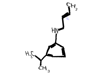 C/C=C/CNc1cccc(C(C)C)c1